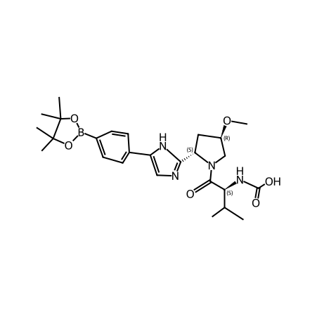 CO[C@@H]1C[C@@H](c2ncc(-c3ccc(B4OC(C)(C)C(C)(C)O4)cc3)[nH]2)N(C(=O)[C@@H](NC(=O)O)C(C)C)C1